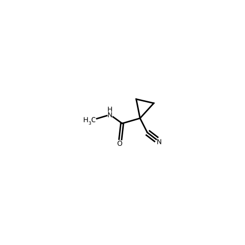 CNC(=O)C1(C#N)CC1